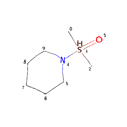 C[SH](C)(=O)N1CCCCC1